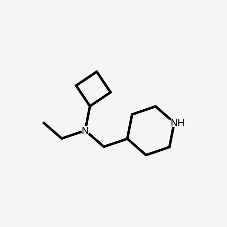 CCN(CC1CCNCC1)C1CCC1